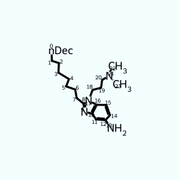 CCCCCCCCCCCCCCCCCc1nc2cc(N)ccc2n1CCCN(C)C